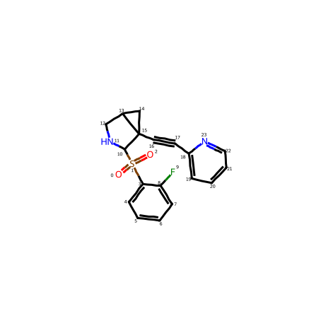 O=S(=O)(c1ccccc1F)C1NCC2CC21C#Cc1ccccn1